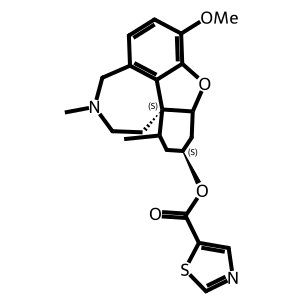 COc1ccc2c3c1OC1C[C@@H](OC(=O)c4cncs4)CC(C)[C@@]31CCN(C)C2